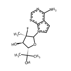 CC(C)(O)[C@H]1OC(n2ccc3c(N)ncnc32)[C@](C)(F)[C@@H]1O